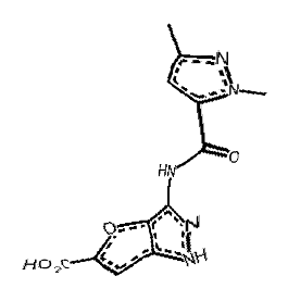 Cc1cc(C(=O)Nc2n[nH]c3cc(C(=O)O)oc23)n(C)n1